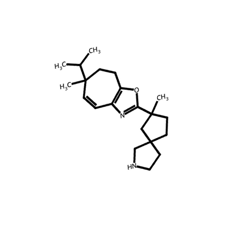 CC(C)C1(C)C=Cc2nc(C3(C)CCC4(CCNC4)C3)oc2CC1